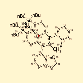 CCCC[Si](CCCC)(CCCC)c1ccc(P(c2ccccc2F)N(C)P(c2ccc([Si](CCCC)(CCCC)CCCC)cc2)c2cccc3ccoc23)cc1